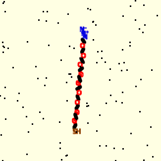 [N-]=[N+]=NCCOCCOCCOCCOCCOCCOCCOCCOCCOCCS